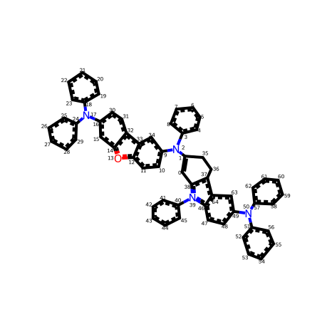 C1=C(N(c2ccccc2)c2ccc3oc4cc(N(c5ccccc5)c5ccccc5)ccc4c3c2)CCc2c1n(-c1ccccc1)c1ccc(N(c3ccccc3)c3ccccc3)cc21